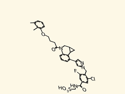 Cc1cccc(OCCCC(=O)N2CC3CC3c3c(-c4cnn(Cc5c(F)cc(C(=O)NCS(=O)(=O)O)cc5Cl)c4)cccc32)c1C